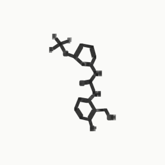 O=C(Nc1cccc(OC(F)(F)F)c1)Nc1cccc(Br)c1CO